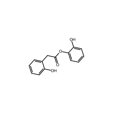 O=C(Cc1ccccc1O)Oc1ccccc1O